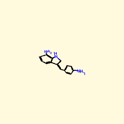 Nc1ccc(C=C2CNc3c(N)cccc32)cc1